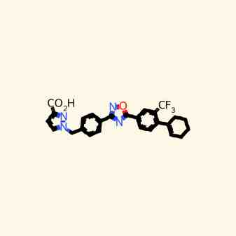 O=C(O)c1ccn(Cc2ccc(-c3noc(-c4ccc(C5=CCCCC5)c(C(F)(F)F)c4)n3)cc2)n1